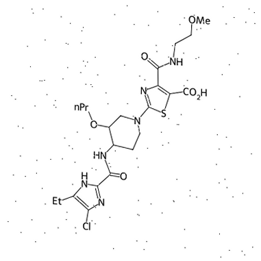 CCCOC1CN(c2nc(C(=O)NCCOC)c(C(=O)O)s2)CCC1NC(=O)c1nc(Cl)c(CC)[nH]1